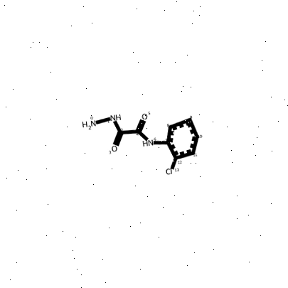 NNC(=O)C(=O)Nc1ccccc1Cl